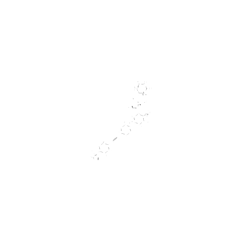 O=C1c2cc(-c3ccc(C#Cc4ccc(C(F)(F)F)cc4)cc3)ccc2OCCN1Cc1ncccn1